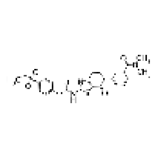 CCS(=O)(=O)c1ccc(CC(=O)Nc2nc3c(s2)C(=O)C(c2cccc(C(=O)N(C)C)c2)CC3)cc1